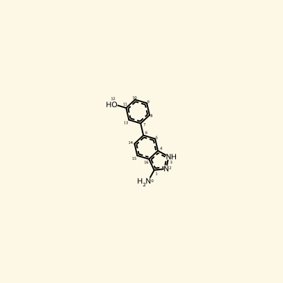 Nc1n[nH]c2cc(-c3cccc(O)c3)ccc12